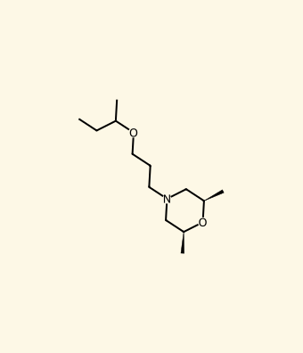 CCC(C)OCCCN1C[C@@H](C)O[C@@H](C)C1